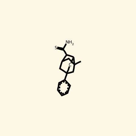 CC12CC3CC(c4ccccc4)(CC1C3C(N)=S)C2